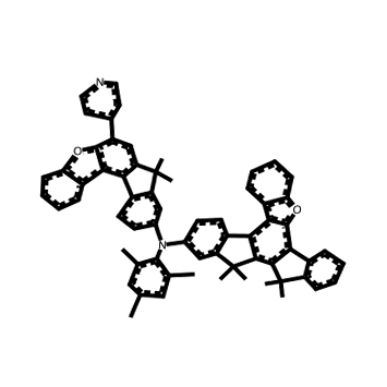 Cc1cc(C)c(N(c2ccc3c(c2)C(C)(C)c2cc(-c4ccncc4)c4oc5ccccc5c4c2-3)c2ccc3c(c2)C(C)(C)c2c4c(c5oc6ccccc6c5c2-3)-c2ccccc2C4(C)C)c(C)c1